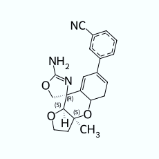 C[C@]12CCO[C@H]1[C@]1(COC(N)=N1)C1=CC(c3cccc(C#N)c3)=CCC1O2